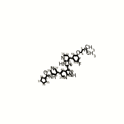 CN(C)CCOc1cc(F)cc(-c2ccnc3[nH]c(-c4n[nH]c5ncc(-c6cncc(NC(=O)C7CCCC7)c6)cc45)nc23)c1